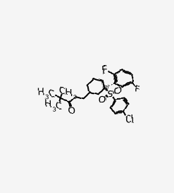 CC(C)(C)C(=O)CCC1CCC[C@@](c2cc(F)ccc2F)(S(=O)(=O)c2ccc(Cl)cc2)C1